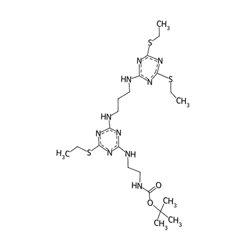 CCSc1nc(NCCCNc2nc(SCC)nc(SCC)n2)nc(NCCNC(=O)OC(C)(C)C)n1